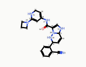 N#Cc1ccccc1C1C=CC2NC=C(C(=O)NC3=CCNC(N4CCC4)=C3)N2N1